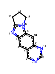 c1ncc2cc3nc4n(c3cc2n1)CCC4